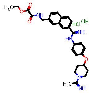 CCOC(=O)C(=O)NCc1ccc2ccc(C(=N)Nc3ccc(OC4CCN(C(C)=N)CC4)cc3)cc2c1.Cl.Cl